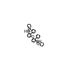 B(ON1CCCCC1)c1cccc(Oc2cccc(BON3CCCCC3)c2-c2ccccc2)c1-c1ccccc1